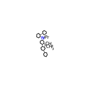 CC(C)N(c1ccc2c(c1)C(C)(C)c1cc(-c3ccccc3)ccc1-2)c1ccccc1-c1ccccc1